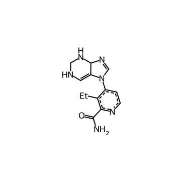 CCc1c(N2C=NC3NCNC=C32)ccnc1C(N)=O